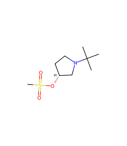 CC(C)(C)N1CC[C@@H](OS(C)(=O)=O)C1